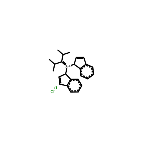 CC(C)[C](C(C)C)=[Zr+2]([CH]1C=Cc2ccccc21)[CH]1C=Cc2ccccc21.[Cl-].[Cl-]